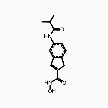 CC(C)C(=O)Nc1ccc2c(c1)C=C(C(=O)NO)C2